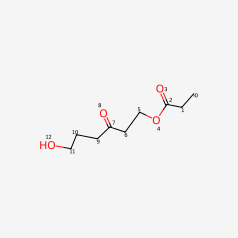 [CH2]CC(=O)OCCC(=O)CCCO